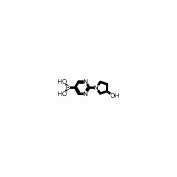 OB(O)c1cnc(N2CCC(O)C2)nc1